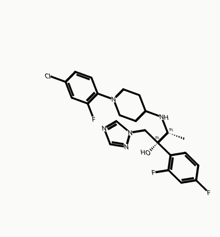 C[C@@H](NC1CCN(c2ccc(Cl)cc2F)CC1)[C@](O)(Cn1cncn1)c1ccc(F)cc1F